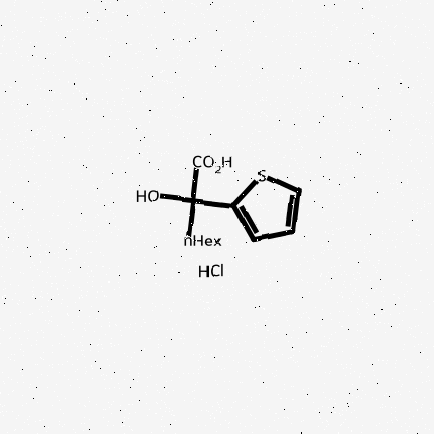 CCCCCCC(O)(C(=O)O)c1cccs1.Cl